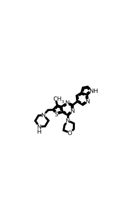 Cc1c(CN2CCNCC2)sc2c(N3CCOCC3)nc(-c3cnc4[nH]ccc4c3)nc12